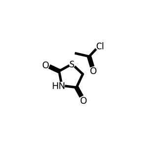 CC(=O)Cl.O=C1CSC(=O)N1